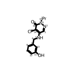 CC(C)n1ncc(NCc2cccc(O)c2)c(Cl)c1=O